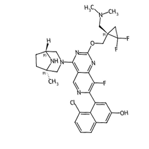 CN(C)C[C@@]1(COc2nc(N3C[C@H]4CC[C@](C)(C3)N4)c3cnc(-c4cc(O)cc5cccc(Cl)c45)c(F)c3n2)CC1(F)F